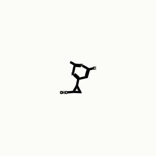 Cc1nc(Cl)cc(C2CC2C=O)n1